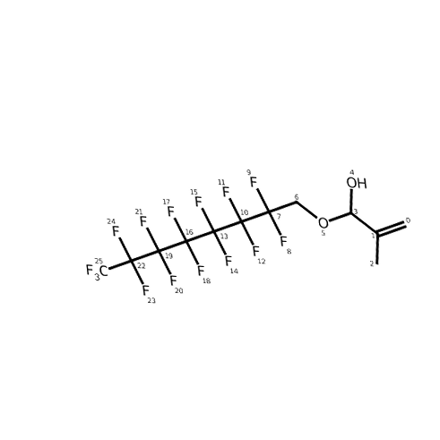 C=C(C)C(O)OCC(F)(F)C(F)(F)C(F)(F)C(F)(F)C(F)(F)C(F)(F)C(F)(F)F